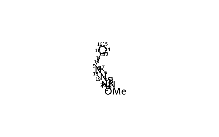 COc1nsc(N2CCN(CC#Cc3ccccc3)CC2)n1